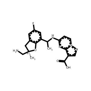 CC(Nc1ccn2ncc(C(=O)O)c2n1)c1cc(F)cc2c1O[C@@](C)(CN)C2